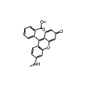 CNc1ccc2c(-c3ccccc3C(=O)O)c3ccc(=O)cc-3oc2c1